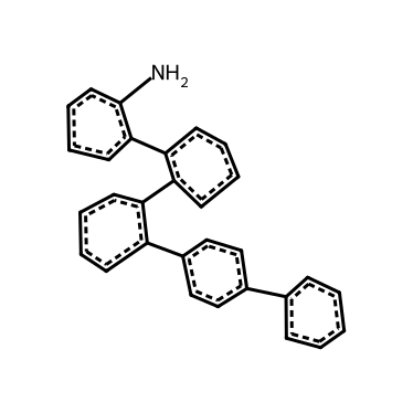 Nc1ccccc1-c1ccccc1-c1ccccc1-c1ccc(-c2ccccc2)cc1